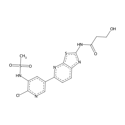 CS(=O)(=O)Nc1cc(-c2ccc3nc(NC(=O)CCO)sc3n2)cnc1Cl